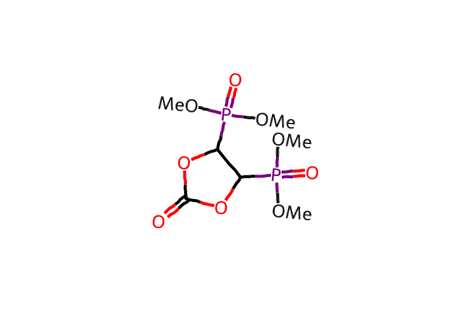 COP(=O)(OC)C1OC(=O)OC1P(=O)(OC)OC